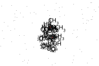 CCBO[C@H]1C[C@H]2OC[C@@]2(OC(C)=O)[C@H]2[C@H](OC(=O)c3ccccc3)[C@]3(O)C[C@H](OC(=O)[C@H](O)[C@@H](NC(=O)c4ccccc4)c4ccccc4)C(C)=C([C@@H](OC(C)=O)C(=O)[C@]12C)C3(C)C